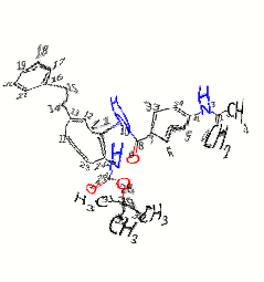 C=C(C)Nc1ccc(C(=O)Nc2cc(CCc3ccccc3)ccc2NC(=O)OC(C)(C)C)cc1